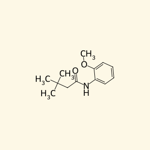 COc1ccccc1NC(=O)CC(C)(C)C